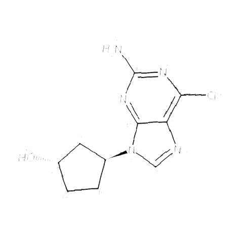 Nc1nc(Cl)c2ncn([C@H]3CC[C@H](O)C3)c2n1